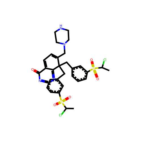 CC(Cl)S(=O)(=O)c1cccc(CC2(Cc3cccc(S(=O)(=O)C(C)Cl)c3)C(CN3CCNCC3)=CC=C3C(=O)N=CN=C32)c1